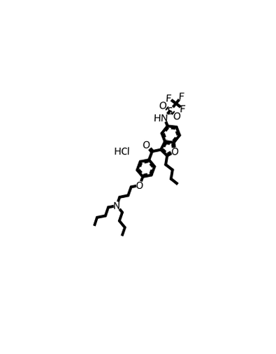 CCCCc1oc2ccc(NS(=O)(=O)C(F)(F)F)cc2c1C(=O)c1ccc(OCCCN(CCCC)CCCC)cc1.Cl